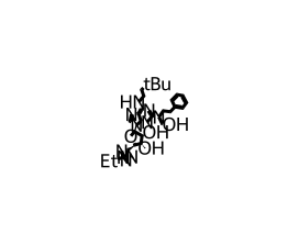 CCn1nnc([C@H]2O[C@@H](n3cnc4c(NCCC(C)(C)C)nc(N(CO)CCc5ccccc5)nc43)[C@H](O)[C@@H]2O)n1